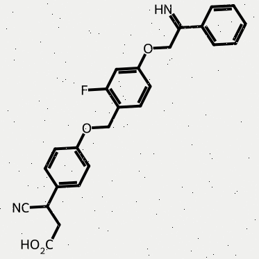 N#CC(CC(=O)O)c1ccc(OCc2ccc(OCC(=N)c3ccccc3)cc2F)cc1